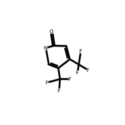 O=C1C=C(C(F)(F)F)C(C(F)(F)F)=[C][N]1